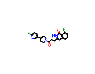 O=C(CCc1cc2cccc(F)c2c(=O)[nH]1)N1CC=C(c2ccc(F)nc2)CC1